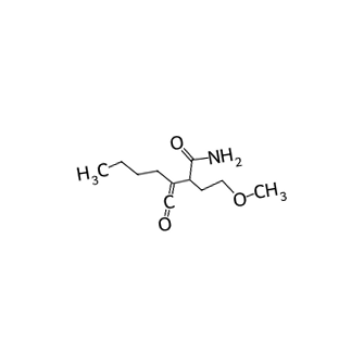 CCCCC(=C=O)C(CCOC)C(N)=O